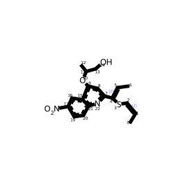 C/C=C\S/C(=C\C)c1cc(OC(C)CO)c2cc([N+](=O)[O-])ccc2n1